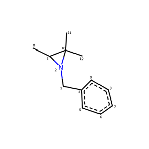 CC1N(Cc2ccccc2)C1(C)C